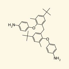 Cc1cc(C(C)(C)C)cc(Cc2cc(C(C)(C)C)cc(C)c2Oc2ccc(N)cc2)c1Oc1ccc(N)cc1